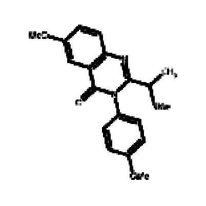 CNC(C)c1nc2ccc(OC)cc2c(=O)n1-c1ccc(OC)cc1